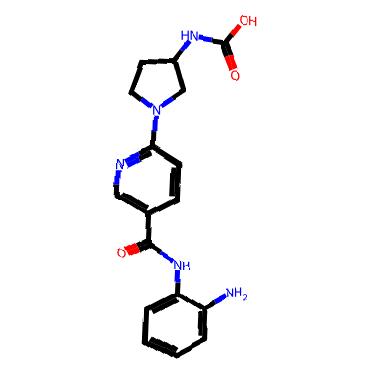 Nc1ccccc1NC(=O)c1ccc(N2CCC(NC(=O)O)C2)nc1